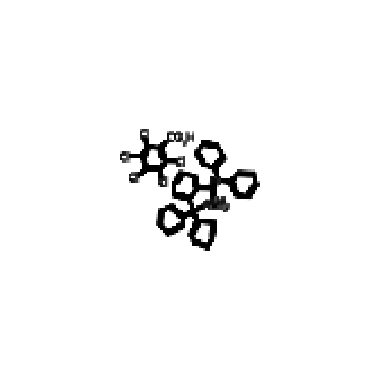 C=C(c1ccccc1C([AsH2])(c1ccccc1)c1ccccc1)[As](c1ccccc1)c1ccccc1.O=C(O)c1c(Cl)c(Cl)c(Cl)c(Cl)c1Cl